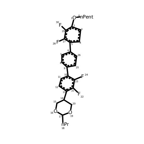 CCCCCOc1ccc(-c2ccc(-c3ccc(C4COC(CCC)OC4)c(F)c3F)cc2)c(F)c1F